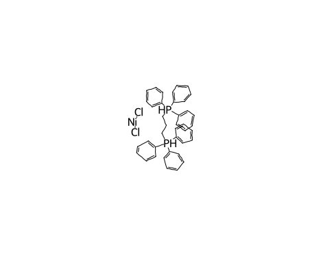 [Cl][Ni][Cl].c1ccc([PH](CCC[PH](c2ccccc2)(c2ccccc2)c2ccccc2)(c2ccccc2)c2ccccc2)cc1